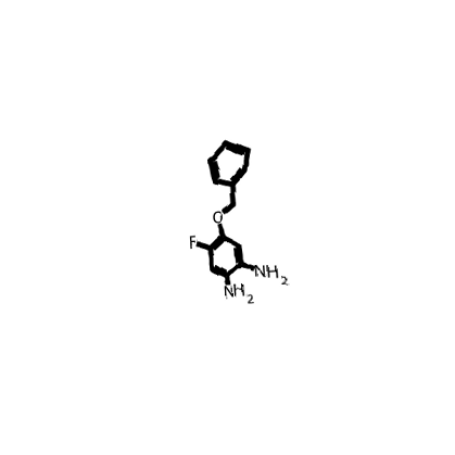 Nc1cc(F)c(OCc2ccccc2)cc1N